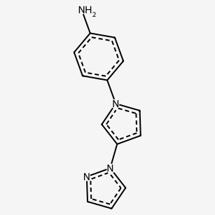 Nc1ccc(-n2ccc(-n3cccn3)c2)cc1